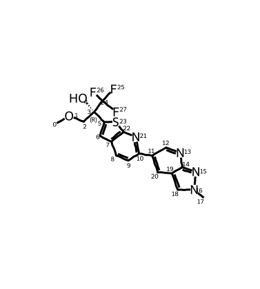 COC[C@](O)(c1cc2ccc(-c3cnc4nn(C)cc4c3)nc2s1)C(F)(F)F